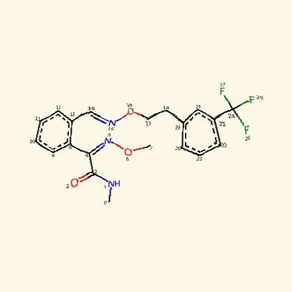 CNC(=O)C(=NOC)c1ccccc1C=NOCCc1cccc(C(F)(F)F)c1